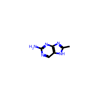 Cc1nc2nc(N)ncc2[nH]1